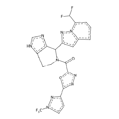 O=C(c1nnc(-c2ccn(C(F)(F)F)n2)o1)N1CCc2[nH]cnc2C1c1cc2cccc(C(F)F)n2n1